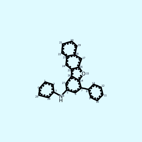 c1ccc(Nc2cc(-c3ccccc3)c3oc4cc5ccccc5cc4c3c2)cc1